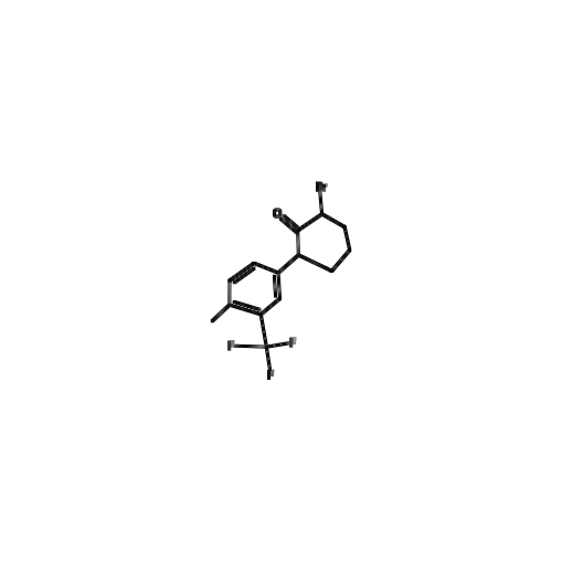 Cc1ccc(C2CCCC(Br)C2=O)cc1C(F)(F)F